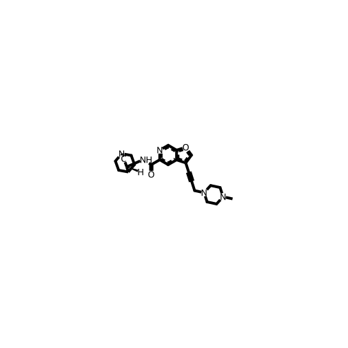 CN1CCN(CC#Cc2coc3cnc(C(=O)N[C@H]4CN5CCC4CC5)cc23)CC1